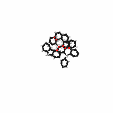 c1ccc(N(c2ccccc2-c2cc(N(c3ccccc3)c3cccc4sc5ccccc5c34)c3c(ccc4ccccc43)c2)c2cccc3oc4ccccc4c23)cc1